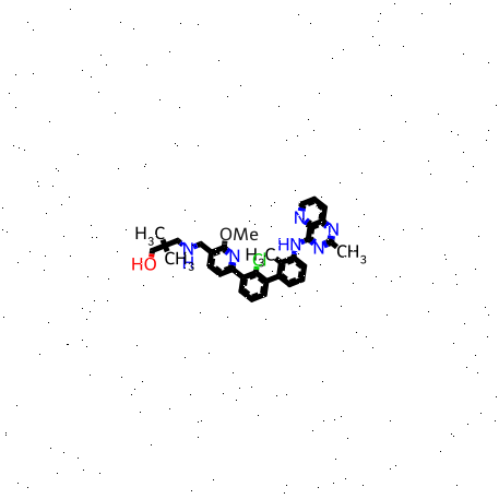 COc1nc(-c2cccc(-c3cccc(Nc4nc(C)nc5cccnc45)c3C)c2Cl)ccc1CNCC(C)(C)CO